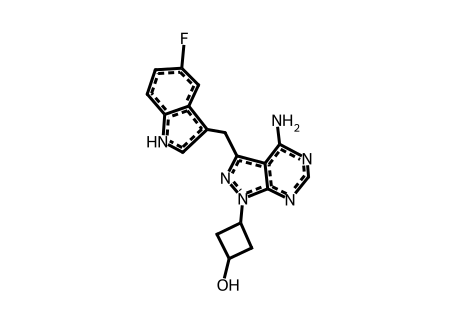 Nc1ncnc2c1c(Cc1c[nH]c3ccc(F)cc13)nn2C1CC(O)C1